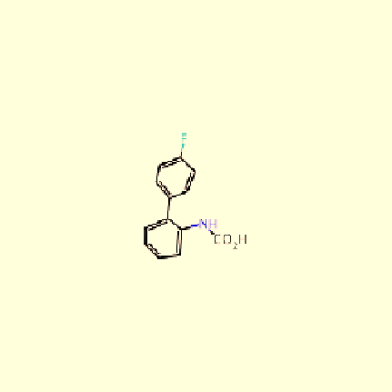 O=C(O)Nc1ccccc1-c1ccc(F)cc1